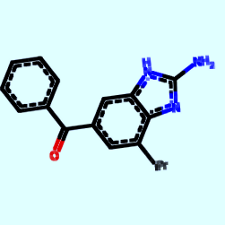 CC(C)c1cc(C(=O)c2ccccc2)cc2[nH]c(N)nc12